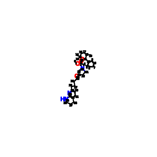 COC(=O)[C@H](c1ccccc1C1OC(C)(C)CCC1C)N1CC[C@@H](OCCCCc2ccc3c(n2)NCCC3)C1